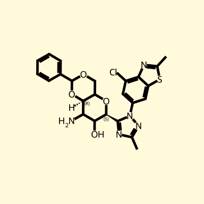 Cc1nc([C@@H]2OC3COC(c4ccccc4)O[C@@H]3C(N)C2O)n(-c2cc(Cl)c3nc(C)sc3c2)n1